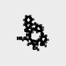 Cc1cc2cc(c1F)[C@H](CC(=O)O)NC(=O)[C@@H](n1cc3ccccc3cc1=O)c1cc(ccc1F)Oc1cccc(C)c1-2